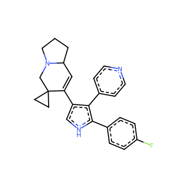 Fc1ccc(-c2[nH]cc(C3=CC4CCCN4CC34CC4)c2-c2ccncc2)cc1